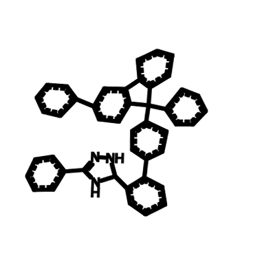 c1ccc(C2=NNC(c3ccccc3-c3ccc(C4(c5ccccc5)c5ccccc5-c5cc(-c6ccccc6)ccc54)cc3)N2)cc1